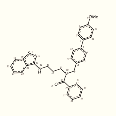 COc1ccc(-c2ccc(CN(CCCNc3nsc4ccccc34)C(=O)c3ccccn3)cc2)cc1